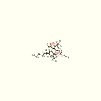 CCCCCC(C)(C)c1cc(C(CCC)c2cc(C(C)(C)CCCCC)cc(C(C)(C)C)c2O)c(O)c(C(C)(C)C)c1